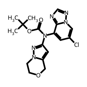 CC(C)(C)OC(=O)N(c1cc2n(n1)CCOC2)c1cc(Cl)cn2ncnc12